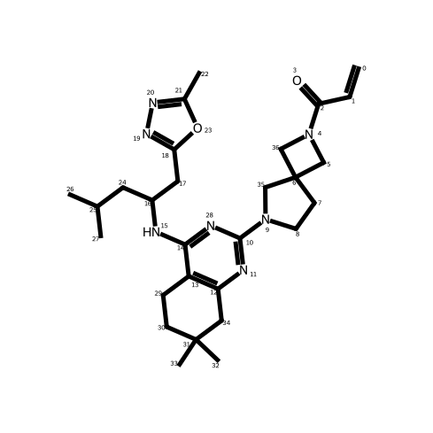 C=CC(=O)N1CC2(CCN(c3nc4c(c(NC(Cc5nnc(C)o5)CC(C)C)n3)CCC(C)(C)C4)C2)C1